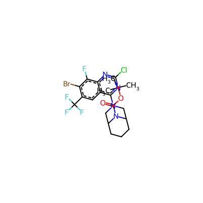 CC(C)(C)OC(=O)N1C2CCCC1CN(c1nc(Cl)nc3c(F)c(Br)c(C(F)(F)F)cc13)C2